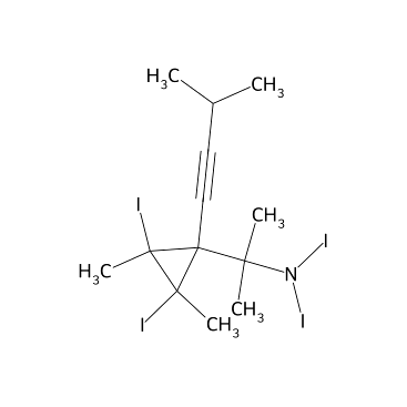 CC(C)C#CC1(C(C)(C)N(I)I)C(C)(I)C1(C)I